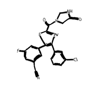 N#Cc1cc(F)cc(-c2sc(C(=O)N3CNC(=O)C3)nc2-c2cccc(Cl)c2)c1